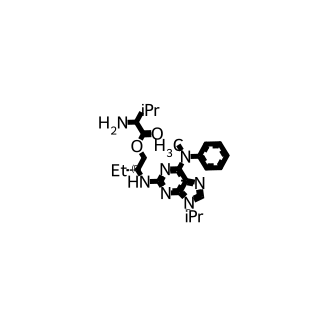 CC[C@H](COC(=O)C(N)C(C)C)Nc1nc(N(C)c2ccccc2)c2ncn(C(C)C)c2n1